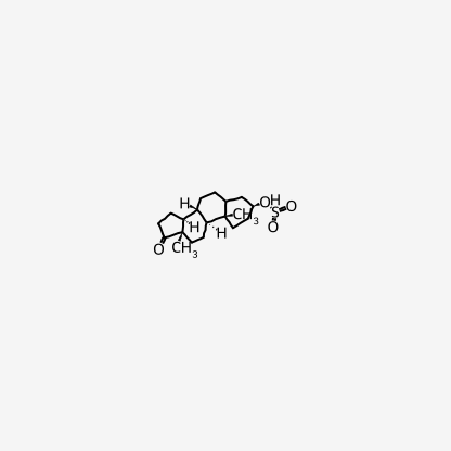 C[C@]12CC[C@H](O[SH](=O)=O)CC1CC[C@@H]1[C@@H]2CC[C@]2(C)C(=O)CC[C@@H]12